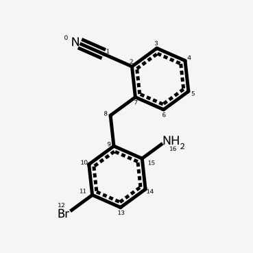 N#Cc1ccccc1Cc1cc(Br)ccc1N